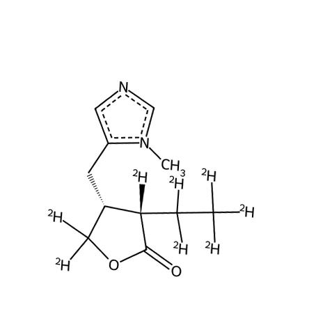 [2H]C1([2H])OC(=O)[C@@]([2H])(C([2H])([2H])C([2H])([2H])[2H])[C@H]1Cc1cncn1C